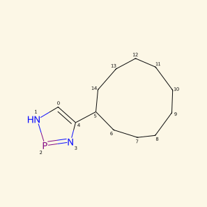 c1[nH]pnc1C1CCCCCCCCC1